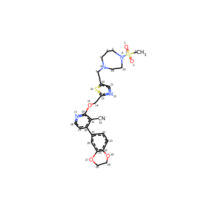 CS(=O)(=O)N1CCCN(Cc2cnc(COc3nccc(-c4ccc5c(c4)OCCO5)c3C#N)s2)CC1